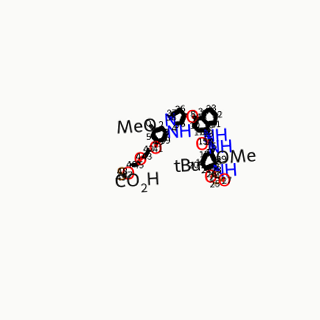 COc1cc(Nc2cc(Oc3ccc(NC(=O)Nc4cc(C(C)(C)C)cc(NS(C)(=O)=O)c4OC)c4ccccc34)ccn2)cc(OCCOCCOSC(=O)O)c1